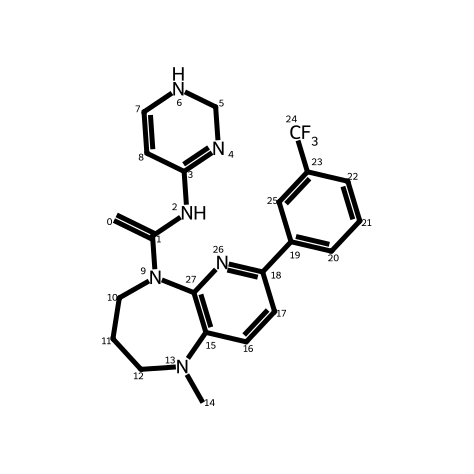 C=C(NC1=NCNC=C1)N1CCCN(C)c2ccc(-c3cccc(C(F)(F)F)c3)nc21